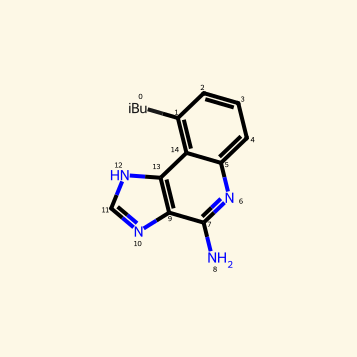 CCC(C)c1cccc2nc(N)c3nc[nH]c3c12